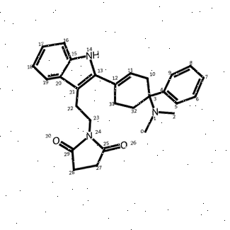 CN(C)C1(c2ccccc2)CC=C(c2[nH]c3ccccc3c2CCN2C(=O)CCC2=O)CC1